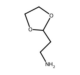 NCCC1OCCO1